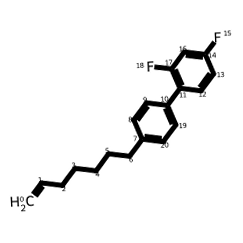 C=CCCCCCc1ccc(-c2ccc(F)cc2F)cc1